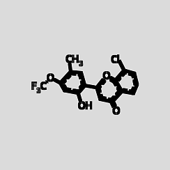 Cc1cc(-c2cc(=O)c3cccc(Cl)c3o2)c(O)cc1OC(F)(F)F